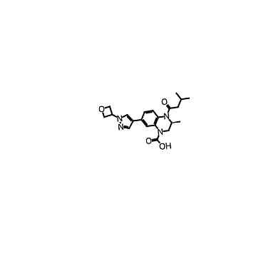 CC(C)CC(=O)N1c2ccc(-c3cnn(C4COC4)c3)cc2N(C(=O)O)C[C@@H]1C